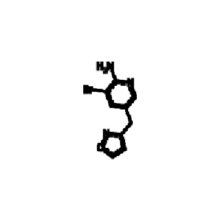 Nc1ncc(Cc2ccon2)cc1Br